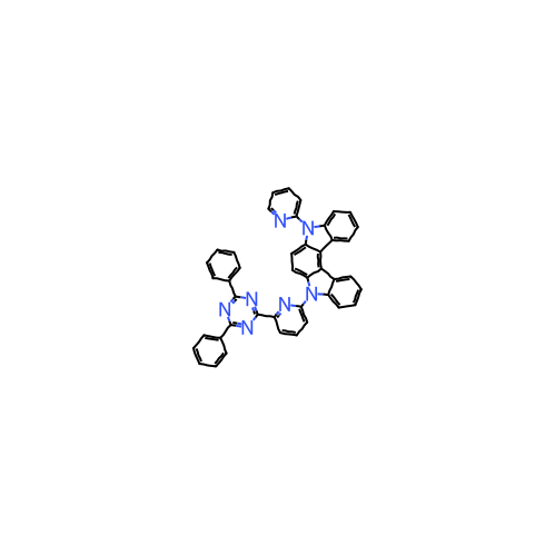 c1ccc(-c2nc(-c3ccccc3)nc(-c3cccc(-n4c5ccccc5c5c6c7ccccc7n(-c7ccccn7)c6ccc54)n3)n2)cc1